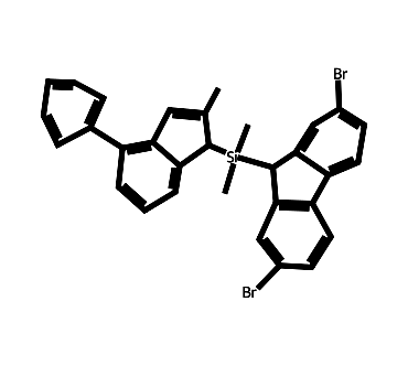 CC1=Cc2c(-c3ccccc3)cccc2C1[Si](C)(C)C1c2cc(Br)ccc2-c2ccc(Br)cc21